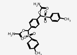 Cc1ccc(S(=O)(=O)C(OC(N)=O)c2ccc(C(OC(N)=O)S(=O)(=O)c3ccc(C)cc3)cc2)cc1